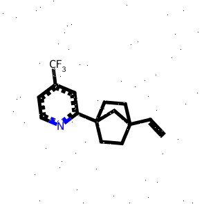 C=CC12CCC(c3cc(C(F)(F)F)ccn3)(CC1)C2